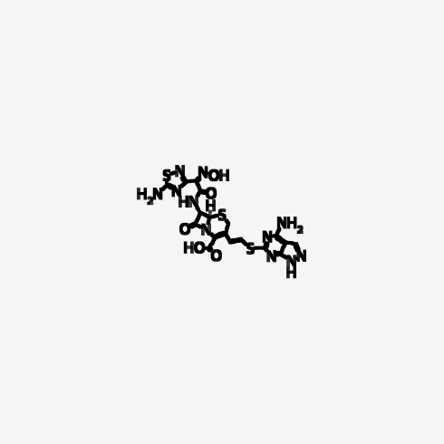 Nc1nc(/C(=N/O)C(=O)N[C@@H]2C(=O)N3C(C(=O)O)=C(/C=C/Sc4nc(N)c5cn[nH]c5n4)CS[C@H]23)ns1